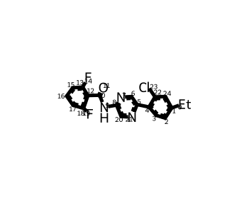 CCc1ccc(-c2cnc(NC(=O)c3c(F)cccc3F)cn2)c(Cl)c1